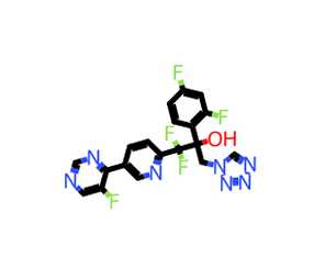 OC(Cn1cnnn1)(c1ccc(F)cc1F)C(F)(F)c1ccc(-c2ncncc2F)cn1